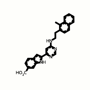 Cc1c(CCNc2cc(-c3cc4ccc(C(=O)O)cc4[nH]3)ncn2)ccc2ccccc12